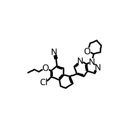 CCCOc1c(C#N)cc2c(c1Cl)CCC=C2c1cnc2c(cnn2C2CCCCO2)c1